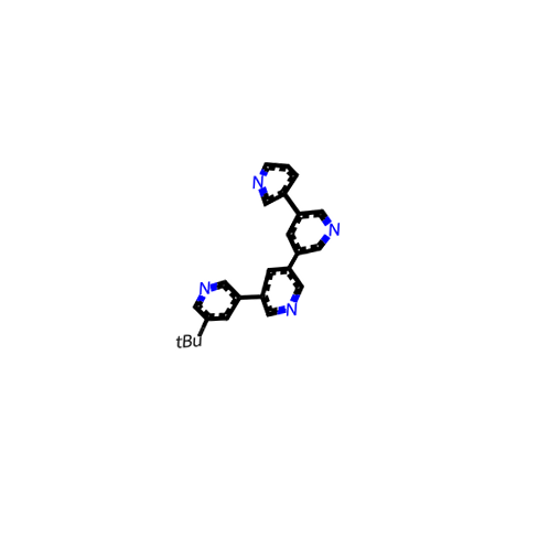 CC(C)(C)c1cncc(-c2cncc(-c3cncc(-c4cccnc4)c3)c2)c1